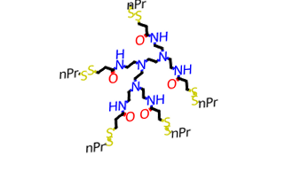 CCCSSCCC(=O)NCCN(CCNC(=O)CCSSCCC)CCN(CCNC(=O)CCSSCCC)CCN(CCNC(=O)CCSSCCC)CCNC(=O)CCSSCCC